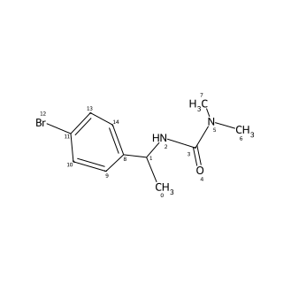 CC(NC(=O)N(C)C)c1ccc(Br)cc1